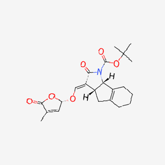 CC1=C[C@@H](O/C=C2/C(=O)N(C(=O)OC(C)(C)C)[C@@H]3C4=C(CCCC4)C[C@H]23)OC1=O